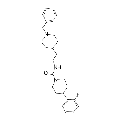 O=C(NCCC1CCN(Cc2ccccc2)CC1)N1CCC(c2ccccc2F)CC1